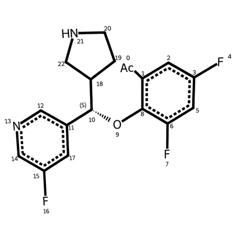 CC(=O)c1cc(F)cc(F)c1O[C@H](c1cncc(F)c1)C1CCNC1